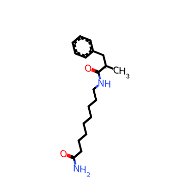 C[C](Cc1ccccc1)C(=O)NCCCCCCCCC(N)=O